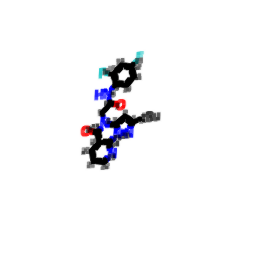 CC(C)(C)c1cc2n(CC(=O)Nc3ccc(F)cc3F)c(=O)c3cccnc3n2n1